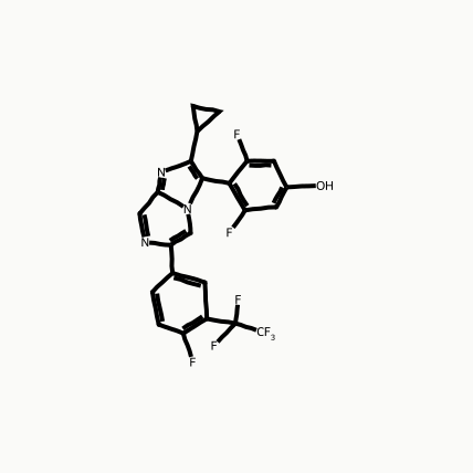 Oc1cc(F)c(-c2c(C3CC3)nc3cnc(-c4ccc(F)c(C(F)(F)C(F)(F)F)c4)cn23)c(F)c1